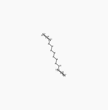 [N-]=[N+]=NCCCCCCCCN=[N+]=[N-]